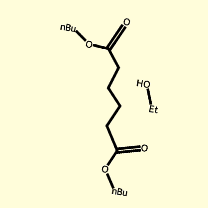 CCCCOC(=O)CCCCC(=O)OCCCC.CCO